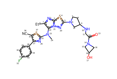 CCc1nc2sc(N3CCC(NCC(=O)N4CC(O)C4)C3)nn2c1N(C)c1nc(-c2ccc(F)cc2)c(C#N)s1